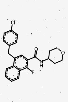 O=C(NC1CCOCC1)c1cc(Cc2ccc(Cl)cc2)c2ccccc2c1F